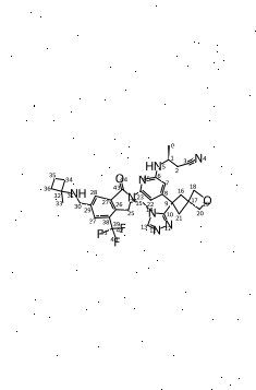 C[C@@H](CC#N)Nc1cc(C2(c3nncn3C)CC3(COC3)C2)cc(N2Cc3c(cc(CNC4(C)CCC4)cc3C(F)(F)F)C2=O)n1